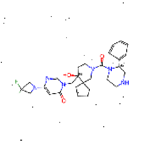 O=C(N1CC[C@@](O)(Cn2cnc(N3CC(F)(F)C3)cc2=O)C2(CCCC2)C1)N1CCNC[C@H]1c1ccccc1